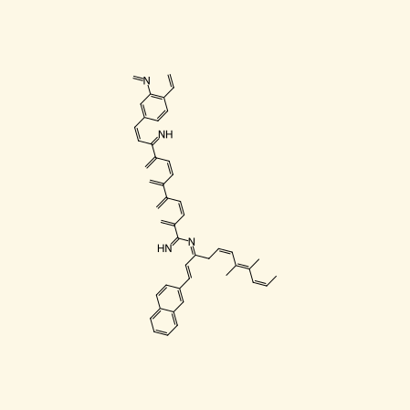 C=Cc1ccc(/C=C\C(=N)C(=C)/C=C\C(=C)C(=C)/C=C\C(=C)C(=N)/N=C(\C=C\c2ccc3ccccc3c2)C\C=C/C(C)=C(C)/C=C\C)cc1N=C